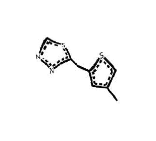 Cc1csc(-c2nncs2)c1